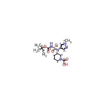 Cn1cc(N([C@H]2CCCN(C(=O)O)C2)S(=O)(=O)NC(=O)OC(C)(C)C)cn1